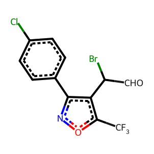 O=CC(Br)c1c(-c2ccc(Cl)cc2)noc1C(F)(F)F